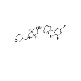 Fc1cc(F)c(F)c(-c2ccc(N[C@H]3C[C@@H]4CN(C[C@@H]5CCCOC5)C[C@@H]4C3)nn2)c1